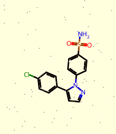 NS(=O)(=O)c1ccc(-n2n[c]cc2-c2ccc(Cl)cc2)cc1